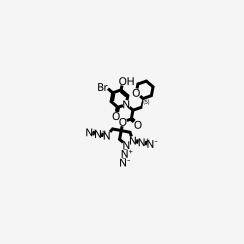 [N-]=[N+]=NCC(CN=[N+]=[N-])(CN=[N+]=[N-])OC(=O)C(C[C@@H]1CCCCO1)n1cc(O)c(Br)cc1=O